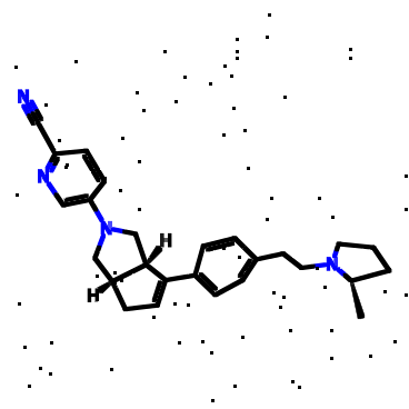 C[C@@H]1CCCN1CCc1ccc(C2=CC[C@@H]3CN(c4ccc(C#N)nc4)C[C@H]23)cc1